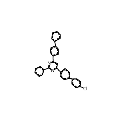 Clc1ccc(-c2ccc(-c3cc(-c4ccc(-c5ccccc5)cc4)nc(-c4ccccc4)n3)cc2)cc1